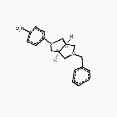 O=[N+]([O-])c1ccc(N2C[C@H]3CN(Cc4ccccc4)C[C@H]3C2)cc1